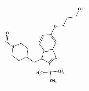 CC(C)(C)c1nc2cc(SCCCO)ccc2n1CC1CCN(C=O)CC1